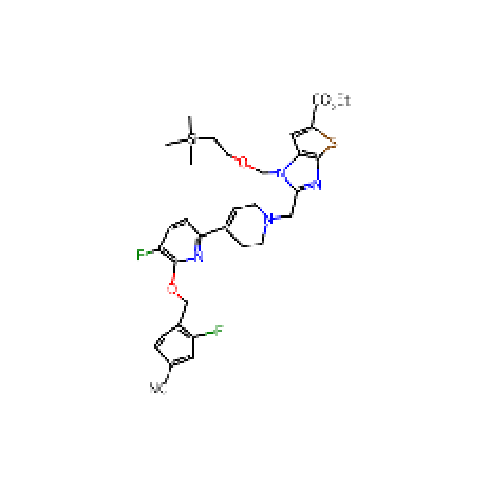 CCOC(=O)c1cc2c(nc(CN3CC=C(c4ccc(F)c(OCc5ccc(C#N)cc5F)n4)CC3)n2COCC[Si](C)(C)C)s1